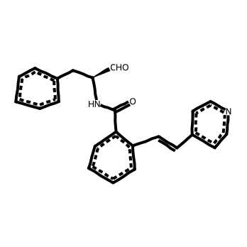 O=C[C@H](Cc1ccccc1)NC(=O)c1ccccc1/C=C/c1ccncc1